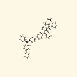 O=P1(c2ccccc2)c2ccccc2-c2ccc3c(c21)c1ccccc1n3-c1ccc(-c2ccc(N(c3ccccc3)c3ccc(-c4ccccc4)cc3)cc2)cc1